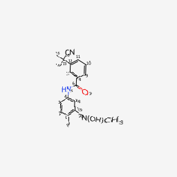 Cc1ccc(NC(=O)c2cccc(C(C)(C)C#N)c2)cc1N(C)O